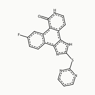 O=c1[nH]ccc2c3[nH]c(Sc4ncccn4)nc3c3ccc(F)cc3c12